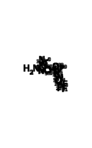 Cc1ncc2c(N)nc3ccc(C(=O)N(Cc4ccc(C(F)(F)F)cn4)CC4CC4)cc3n12